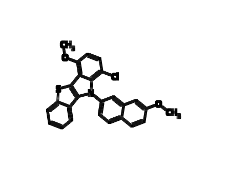 COc1ccc2ccc(-n3c4c(Cl)ccc(OC)c4c4sc5ccccc5c43)cc2c1